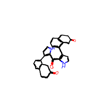 O=C1CCc2cccc(-c3cc[nH]c3C(=O)c3[nH]ccc3-c3cccc4c3CC(=O)CC4)c2C1